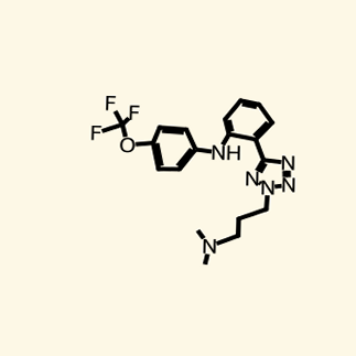 CN(C)CCCn1nnc(-c2ccccc2Nc2ccc(OC(F)(F)F)cc2)n1